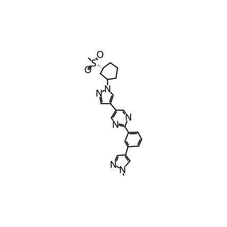 Cn1cc(-c2cccc(-c3ncc(-c4cnn(C5CCC[C@@H](S(C)(=O)=O)C5)c4)cn3)c2)cn1